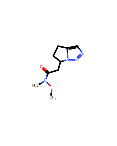 CON(C)C(=O)CC1CCc2cnnn21